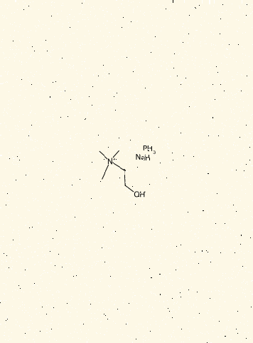 C[N+](C)(C)CCO.P.[NaH]